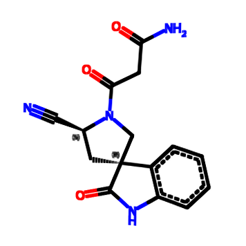 N#C[C@@H]1C[C@@]2(CN1C(=O)CC(N)=O)C(=O)Nc1ccccc12